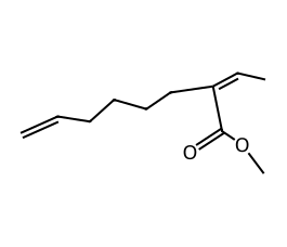 C=CCCCCC(=CC)C(=O)OC